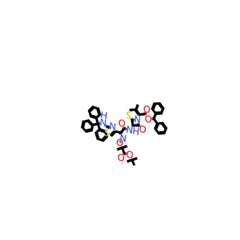 CC1=C(C(=O)OC(c2ccccc2)c2ccccc2)N2C(=O)C(NC(=O)C(=NOC(C)(C)C(=O)OC(C)(C)C)c3csc(NC(c4ccccc4)(c4ccccc4)c4ccccc4)n3)C2SC1